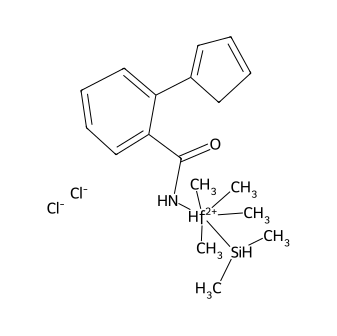 C[SiH](C)[Hf+2]([CH3])([CH3])([CH3])([CH3])[NH]C(=O)c1ccccc1C1=CC=CC1.[Cl-].[Cl-]